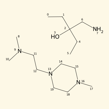 CCC(O)(CC)CN.CN(C)CCN1CCN(C)CC1